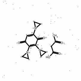 CC(=O)CC(=O)O.O=C1C=C(N2CC2)C(=O)C(N2CC2)=C1N1CC1